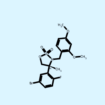 COc1ccc(CN2[C@](C)(c3cc(Br)ccc3F)COS2(=O)=O)c(OC)c1